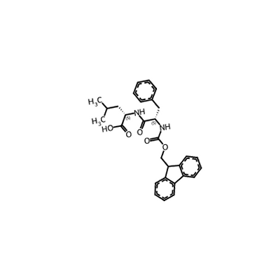 CC(C)C[C@H](NC(=O)[C@H](Cc1ccccc1)NC(=O)OCC1c2ccccc2-c2ccccc21)C(=O)O